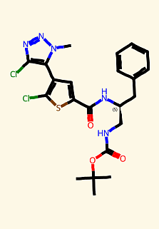 Cn1nnc(Cl)c1-c1cc(C(=O)N[C@H](CNC(=O)OC(C)(C)C)Cc2ccccc2)sc1Cl